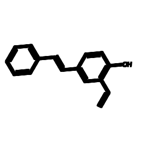 C=Cc1cc(C=Cc2ccccc2)ccc1O